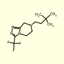 CC(C)(C)CCN1CCn2c(nnc2C(F)(F)F)C1